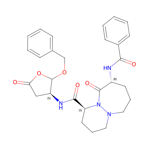 O=C1C[C@H](NC(=O)[C@@H]2CCCN3CCC[C@@H](NC(=O)c4ccccc4)C(=O)N23)C(OCc2ccccc2)O1